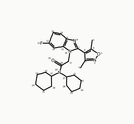 Cc1noc(C)c1-c1nc2ccc(F)cc2n1CC(=O)N(C1CCCCC1)C1CCCCC1